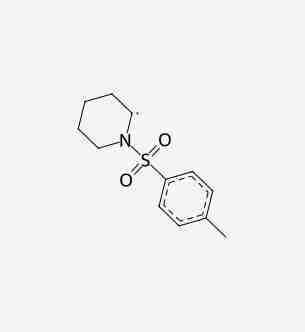 Cc1ccc(S(=O)(=O)N2[CH]CCCC2)cc1